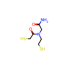 NC(=O)CN(CCS)C(=O)CS